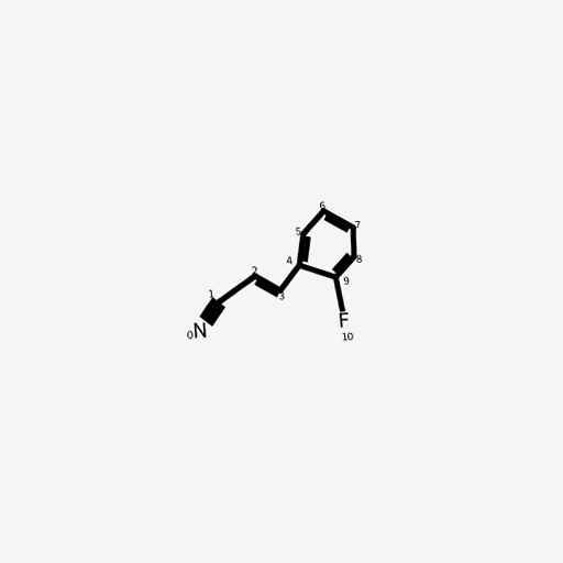 N#CC=Cc1ccccc1F